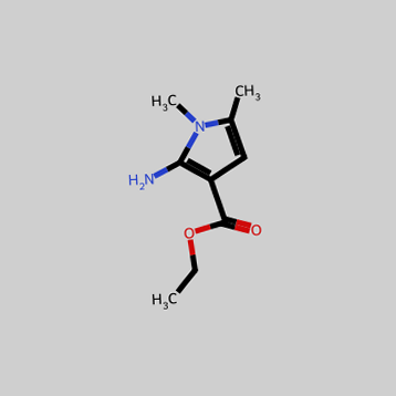 CCOC(=O)c1cc(C)n(C)c1N